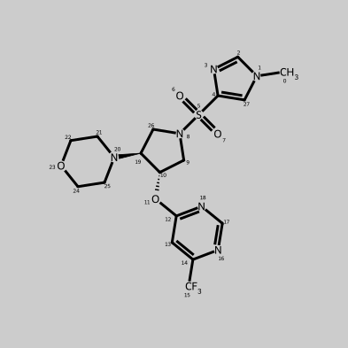 Cn1cnc(S(=O)(=O)N2C[C@H](Oc3cc(C(F)(F)F)ncn3)[C@@H](N3CCOCC3)C2)c1